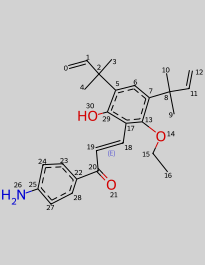 C=CC(C)(C)c1cc(C(C)(C)C=C)c(OCC)c(/C=C/C(=O)c2ccc(N)cc2)c1O